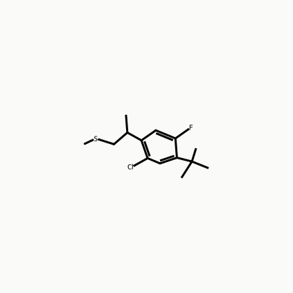 CSCC(C)c1cc(F)c(C(C)(C)C)cc1Cl